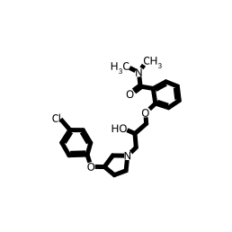 CN(C)C(=O)c1ccccc1OCC(O)CN1CCC(Oc2ccc(Cl)cc2)C1